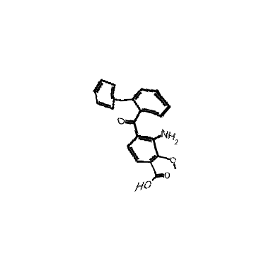 COc1c(C(=O)O)ccc(C(=O)c2ccccc2-c2ccccc2)c1N